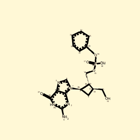 Nc1nc2c(ncn2[C@@H]2C[C@H](CO)[C@H]2COP(=O)(O)Oc2ccccc2)c(=O)[nH]1